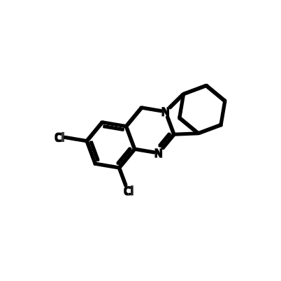 Clc1cc(Cl)c2c(c1)CN1C(=N2)C2CCCC1C2